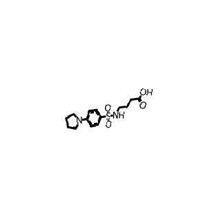 O=C(O)CCCNS(=O)(=O)c1ccc(N2CCCC2)cc1